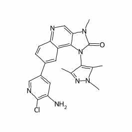 Cc1nn(C)c(C)c1-n1c(=O)n(C)c2cnc3ccc(-c4cnc(Cl)c(N)c4)cc3c21